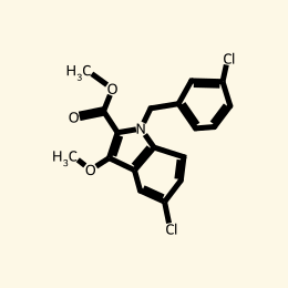 COC(=O)c1c(OC)c2cc(Cl)ccc2n1Cc1cccc(Cl)c1